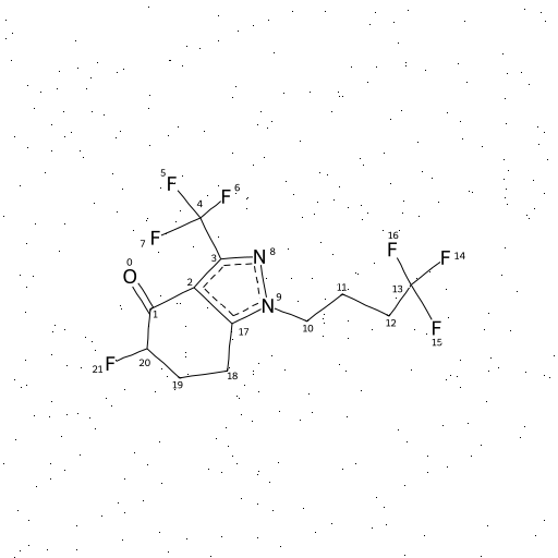 O=C1c2c(C(F)(F)F)nn(CCCC(F)(F)F)c2CCC1F